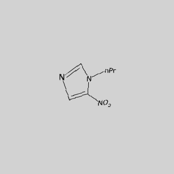 CCCn1cncc1[N+](=O)[O-]